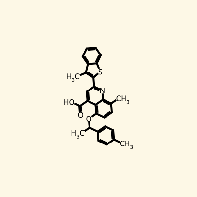 Cc1ccc(C(C)Oc2ccc(C)c3nc(-c4sc5ccccc5c4C)cc(C(=O)O)c23)cc1